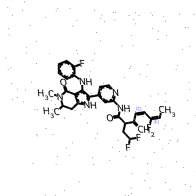 C=C(/C=C\C(F)=C/C)C(CC(F)F)C(=O)Nc1cc(-c2[nH]c3c(c2Nc2ccccc2F)C(=O)N(C)C(C)C3)ccn1